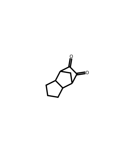 O=C1C(=O)C2CC1C1CCCC21